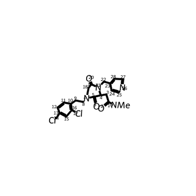 CNC(=O)CC1C(=O)N(CCc2ccc(Cl)cc2Cl)CC(=O)N1Cc1ccncc1